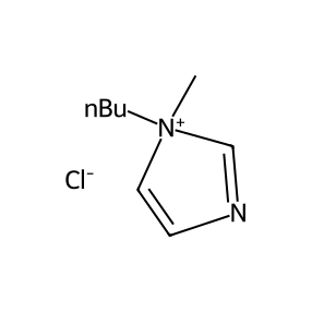 CCCC[N+]1(C)C=CN=C1.[Cl-]